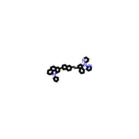 C(=C\c1ccc(N(c2ccccn2)c2ccccn2)c2ccccc12)/c1ccc2cc(-c3cc4ccc5cccc6c5c4c(c3)n6-c3ccccc3)ccc2c1